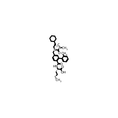 CSCC[C@H](NC(=O)c1ccc(CN(CCC2CCCCC2)C(=O)N(C)C)cc1-c1ccccc1C)C(=O)O